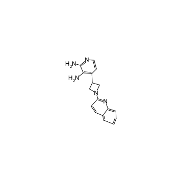 Nc1nccc(C2CN(c3ccc4ccccc4n3)C2)c1N